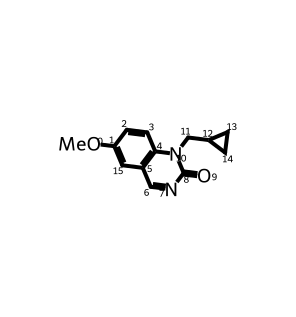 COc1ccc2c(cnc(=O)n2CC2CC2)c1